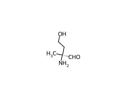 C[C@@](N)(C=O)CCO